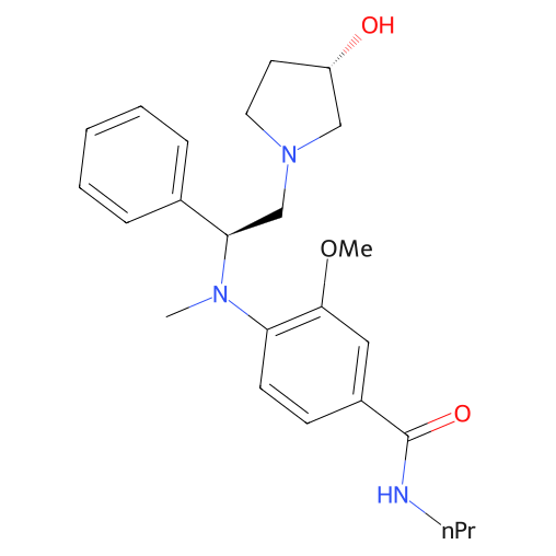 CCCNC(=O)c1ccc(N(C)[C@H](CN2CC[C@H](O)C2)c2ccccc2)c(OC)c1